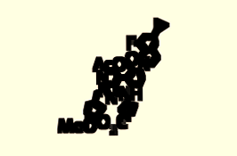 COc1ccc(Cn2nc(N[C@@H]3CCN(C(=O)O)C3)c3c(-c4cccc(-n5ccc6cc(C7CC7)cc(F)c6c5=O)c4COC(C)=O)ccnc32)cc1